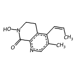 C/C=C\c1c(C)cnc2c1CCN(O)C2=O